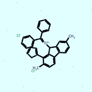 Cc1ccc2c(c1)[CH]([Ti+2]=[C](c1ccccc1)c1ccccc1)c1c-2ccc(C)c1C1=CC=CC1.[Cl-].[Cl-]